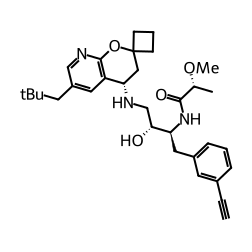 C#Cc1cccc(C[C@H](NC(=O)[C@@H](C)OC)[C@H](O)CN[C@H]2CC3(CCC3)Oc3ncc(CC(C)(C)C)cc32)c1